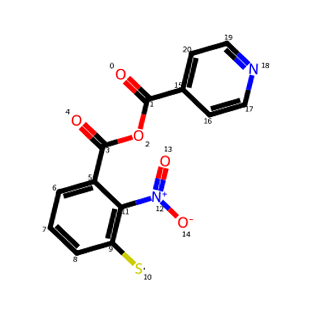 O=C(OC(=O)c1cccc([S])c1[N+](=O)[O-])c1ccncc1